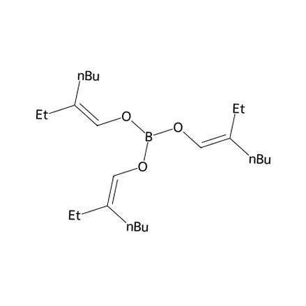 CCCCC(=COB(OC=C(CC)CCCC)OC=C(CC)CCCC)CC